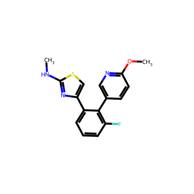 CNc1nc(-c2cccc(F)c2-c2ccc(OC)nc2)cs1